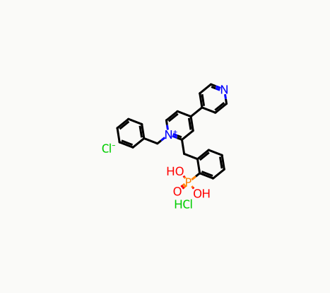 Cl.O=P(O)(O)c1ccccc1Cc1cc(-c2ccncc2)cc[n+]1Cc1ccccc1.[Cl-]